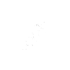 CCN1CCC2(CC1)CC(S(C)(=N)=O)C2